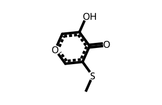 CSc1cocc(O)c1=O